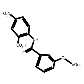 CCCCCCCCOc1cccc(C(=O)Nc2ccc([N+](=O)[O-])cc2C(=O)O)c1